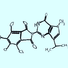 CC(C)c1cn(C)c2c(=O)[nH]c(N3C(=O)c4c(Cl)c(Cl)c(Cl)c(Cl)c4C3=O)nc12